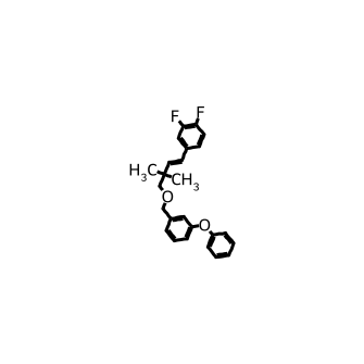 CC(C)(/C=C/c1ccc(F)c(F)c1)COCc1cccc(Oc2ccccc2)c1